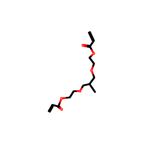 C=CC(=O)OCCOCC(C)COCCOC(=O)C=C